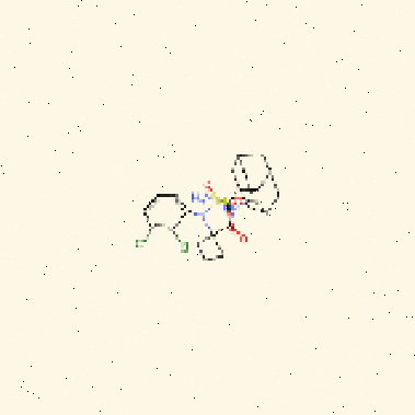 NC(=O)C12CC3CC(C1)C(NC(=O)C1(N(c4cccc(Cl)c4Cl)[SH](=O)=O)CCC1)C(C3)C2